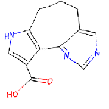 O=C(O)c1c[nH]c2c1-c1ncncc1CCC2